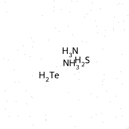 N.N.S.[TeH2]